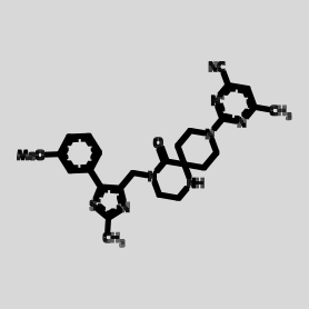 COc1cccc(-c2sc(C)nc2CN2CCNC3(CCN(c4nc(C)cc(C#N)n4)CC3)C2=O)c1